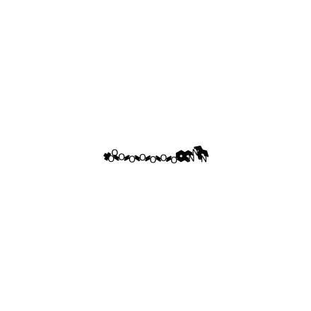 CC(C)(C)OC(=O)COCCOCCOCCOCCOCCOc1ccc2cc(-n3ccc4ccncc43)ncc2c1